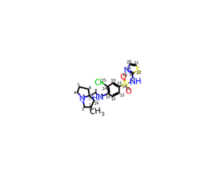 C[C@@H]1CN2CCC[C@]2(CNc2ccc(S(=O)(=O)Nc3nccs3)cc2Cl)C1